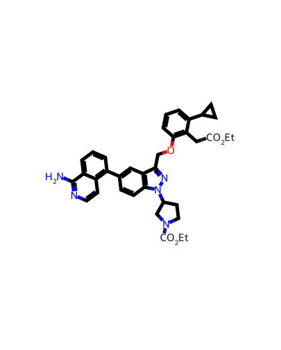 CCOC(=O)Cc1c(OCc2nn(C3CCN(C(=O)OCC)C3)c3ccc(-c4cccc5c(N)nccc45)cc23)cccc1C1CC1